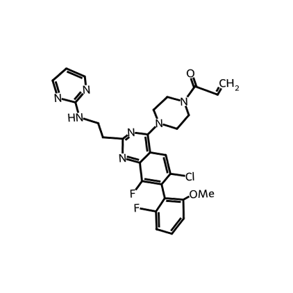 C=CC(=O)N1CCN(c2nc(CCNc3ncccn3)nc3c(F)c(-c4c(F)cccc4OC)c(Cl)cc23)CC1